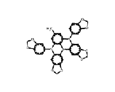 Cc1cc2c3c(c1)N(c1ccc4c(c1)OCO4)c1cc4c(cc1B3c1cc3c(cc1N2c1ccc2c(c1)OCO2)OCO3)OCO4